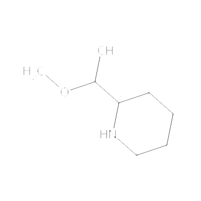 [CH2]OC(C)C1CCCCN1